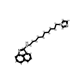 c1cc2c3c(cccc3c1)C(NCCCCCCCCCCn1ccnc1)=N2